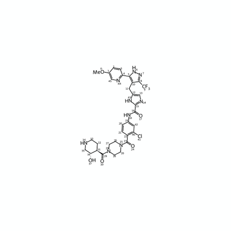 COc1ccc(-c2[nH]nc(C(F)(F)F)c2Cc2cnc(C(=O)Nc3ccc(C(=O)N4CCN(C(=O)[C@@H]5CCNC[C@H]5O)CC4)c(Cl)c3)[nH]2)nc1